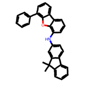 CC1(C)c2ccccc2-c2ccc(Nc3cccc4c3oc3c(-c5ccccc5)cccc34)cc21